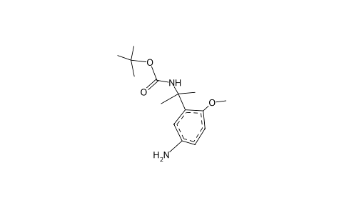 COc1ccc(N)cc1C(C)(C)NC(=O)OC(C)(C)C